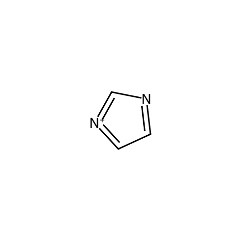 C1=NC=[N+]=C1